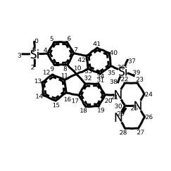 C[Si](C)(C)c1ccc2c(c1)C1(c3ccccc3-c3ccc(N4CCCN5CCCN=C54)cc31)c1cc([Si](C)(C)C)ccc1-2